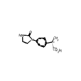 C[C@H](C(=O)O)c1ccc(N2CCNC2=O)cc1